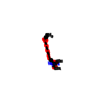 Cc1ccc(S(=O)(=O)OOCCOOCCOOCCOCOc2ccc(CN/C(=N/C(=O)OC(C)(C)C)NC(=O)OC(C)(C)C)cc2)cc1